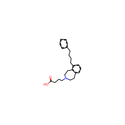 O=C(O)CCCN1CCc2cccc(CCCCc3ccccc3)c2CC1